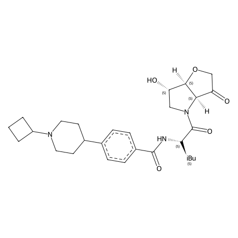 CC[C@H](C)[C@H](NC(=O)c1ccc(C2CCN(C3CCC3)CC2)cc1)C(=O)N1C[C@H](O)[C@H]2OCC(=O)[C@H]21